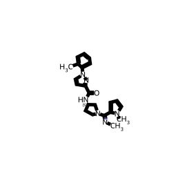 C/N=C(\c1cccn1C)N1CC[C@H](NC(=O)c2ccn(-c3ccccc3C)n2)C1